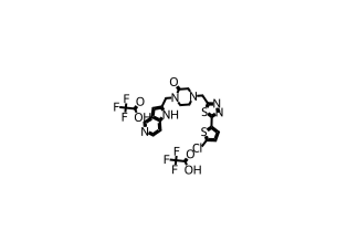 O=C(O)C(F)(F)F.O=C(O)C(F)(F)F.O=C1CN(Cc2nnc(-c3ccc(Cl)s3)s2)CCN1Cc1cc2cnccc2[nH]1